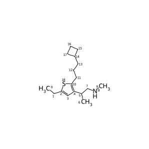 CCc1cc(C(C)CNC)c(CCCC2CCC2)s1